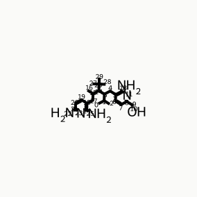 CC(C)C(Cc1ccc(CO)nc1N)C(C(C)Cc1ccc(N)nc1N)C(C)(C)C